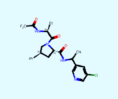 CC[C@H](NC(=O)C(F)(F)F)C(=O)N1C[C@H](C(C)C)C[C@H]1C(=O)NC(C#N)c1cncc(Cl)c1